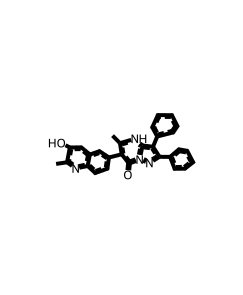 Cc1nc2ccc(-c3c(C)[nH]c4c(-c5ccccc5)c(-c5ccccc5)nn4c3=O)cc2cc1O